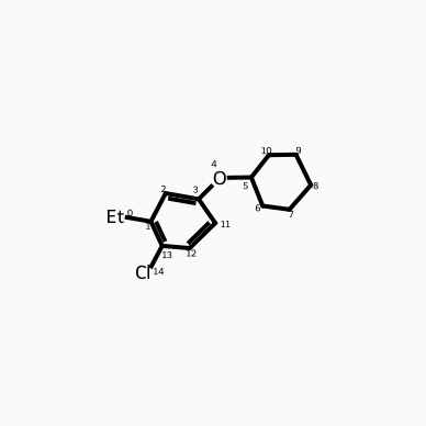 CCc1cc(OC2CCCCC2)ccc1Cl